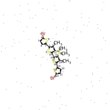 Cc1c(-c2ccc(Br)s2)sc2c1S(C)(C)c1c-2sc(-c2ccc(Br)s2)c1C